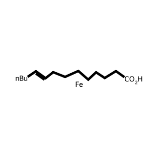 CCCCC=CCCCCCCCC(=O)O.[Fe]